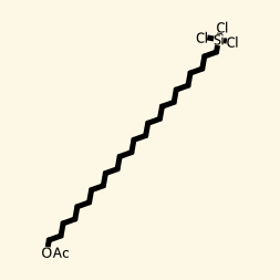 CC(=O)OCCCCCCCCCCCCCCCCCCCCCCCC[Si](Cl)(Cl)Cl